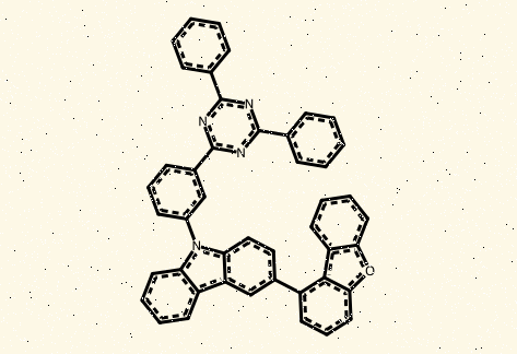 c1ccc(-c2nc(-c3ccccc3)nc(-c3cccc(-n4c5ccccc5c5cc(-c6cccc7oc8ccccc8c67)ccc54)c3)n2)cc1